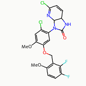 COc1cc(Cl)c(N2C(=O)NC3C=CC(Cl)=NC32)cc1OCc1c(OC)ccc(F)c1F